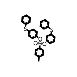 Cc1ccc(S(=O)(=O)Oc2ccc(Sc3ccccc3)cc2)cc1.c1ccc(Sc2ccccc2)cc1